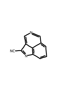 N#CC1=Nc2cccc3cncc1c23